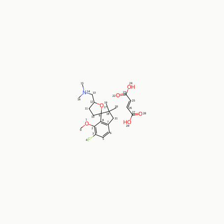 COc1c(F)ccc2c1C1(CCC(CN(C)C)O1)C(C)(C)C2.O=C(O)/C=C/C(=O)O